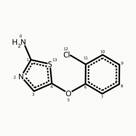 Nc1ncc(Oc2ccccc2Cl)s1